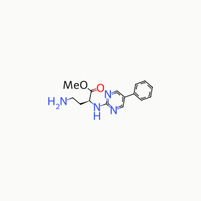 COC(=O)[C@H](CCN)Nc1ncc(-c2ccccc2)cn1